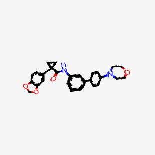 O=C(Nc1cccc(-c2ccc(N3CCOCC3)cc2)c1)C1(c2ccc3c(c2)OCO3)CC1